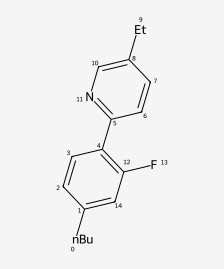 CCCCc1ccc(-c2ccc(CC)cn2)c(F)c1